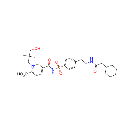 CC(C)(CO)CN1CC(C(=O)NS(=O)(=O)c2ccc(CCNC(=O)CC3CCCCC3)cc2)=CC=C1C(=O)O